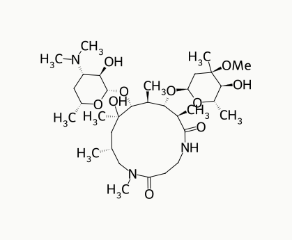 CO[C@]1(C)C[C@H](O[C@H]2[C@H](C)[C@@H](O[C@@H]3O[C@H](C)C[C@H](N(C)C)[C@H]3O)[C@](C)(O)C[C@@H](C)CN(C)C(=O)CCNC(=O)[C@@H]2C)O[C@@H](C)[C@@H]1O